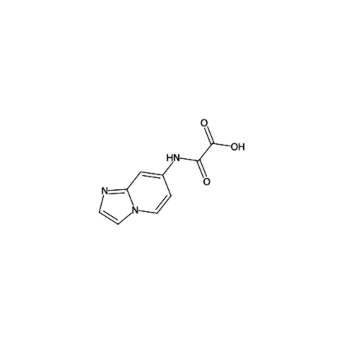 O=C(O)C(=O)Nc1ccn2ccnc2c1